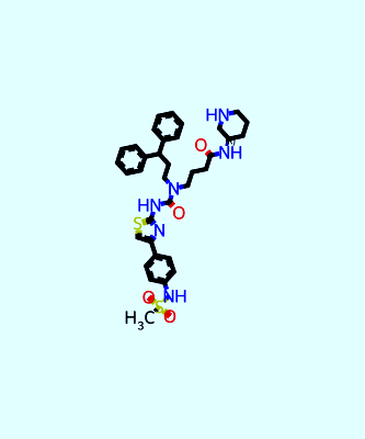 CS(=O)(=O)Nc1ccc(-c2csc(NC(=O)N(CCCC(=O)N[C@@H]3CCCNC3)CCC(c3ccccc3)c3ccccc3)n2)cc1